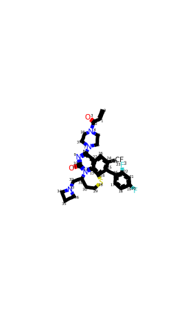 C=CC(=O)N1CCN(c2nc(=O)n3c4c(c(-c5ccc(F)cc5F)c(C(F)(F)F)cc24)SCCC3CN2CCC2)CC1